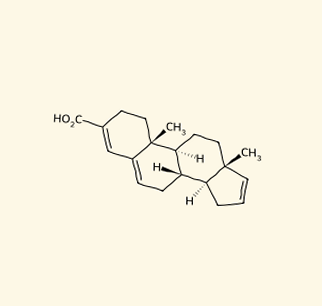 C[C@@]12C=CC[C@H]1[C@@H]1CC=C3C=C(C(=O)O)CC[C@]3(C)[C@H]1CC2